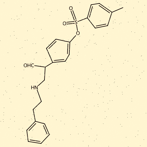 Cc1ccc(S(=O)(=O)Oc2ccc(C(C=O)CNCCc3ccccc3)cc2)cc1